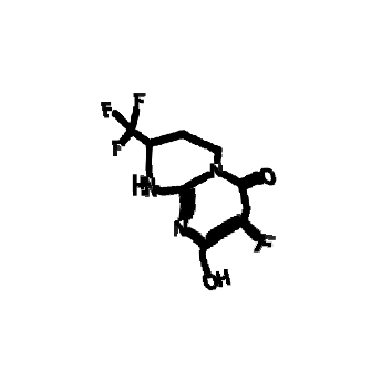 O=c1c(F)c(O)nc2n1CCC(C(F)(F)F)N2